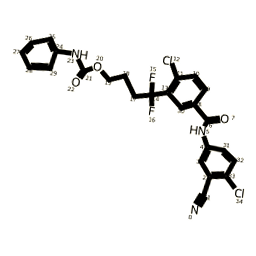 N#Cc1cc(NC(=O)c2ccc(Cl)c(C(F)(F)CCCOC(=O)Nc3ccccc3)c2)ccc1Cl